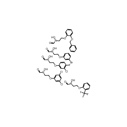 O=CN(O)CCOc1cc(Cl)cc(Cl)c1.O=CN(O)CCOc1ccc(F)c(Cl)c1.O=CN(O)CCOc1cccc(Br)c1.O=CN(O)CCOc1ccccc1C(F)(F)F.O=CN(O)CCOc1ccccc1OCc1ccccc1